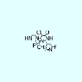 CC(F)(F)C1CNCCN1c1nc(-c2ccnc(F)c2)[nH]c(=O)c1Cl